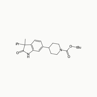 CC(C)C1(C)C(=O)Nc2cc(C3CCN(C(=O)OC(C)(C)C)CC3)ccc21